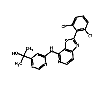 CC(C)(O)c1cc(Nc2nccc3nc(-c4c(Cl)cccc4Cl)sc23)ncn1